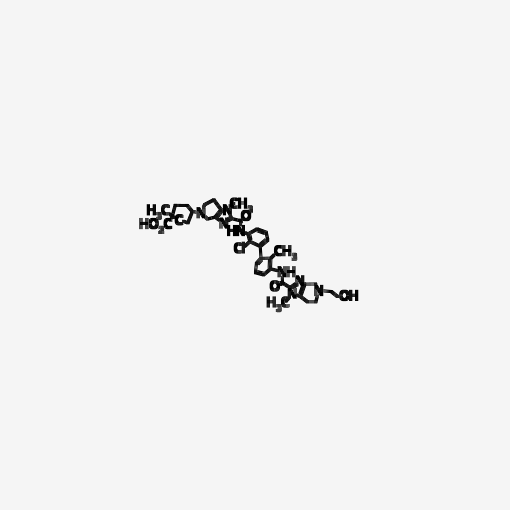 Cc1c(NC(=O)c2nc3c(n2C)CCN(CCO)C3)cccc1-c1cccc(NC(=O)c2nc3c(n2C)CCN(C2CCC(C)(C(=O)O)CC2)C3)c1Cl